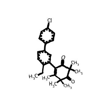 CCc1ccc(-c2ccc(Cl)cc2)cc1C1=C(C)C(C)(C)C(=O)C(C)(C)C1=O